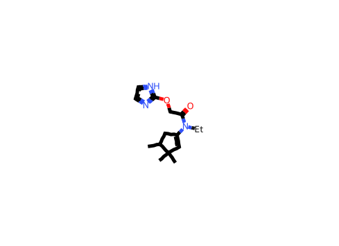 CCN(C(=O)COc1ncc[nH]1)C1=CC(C)(C)C(C)C1